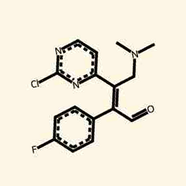 CN(C)C/C(=C(\C=O)c1ccc(F)cc1)c1ccnc(Cl)n1